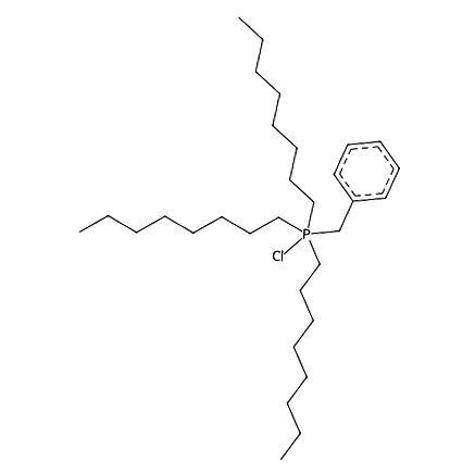 CCCCCCCCP(Cl)(CCCCCCCC)(CCCCCCCC)Cc1ccccc1